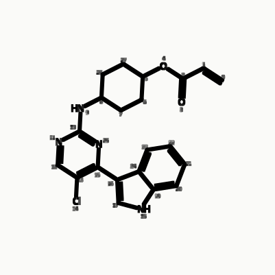 C=CC(=O)OC1CCC(Nc2ncc(Cl)c(-c3c[nH]c4ccccc34)n2)CC1